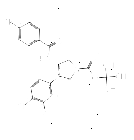 CC(C)(C)OC(=O)N1C[C@@H](NC(=O)c2ccc(Cl)cc2)[C@H](c2ccc(Cl)c(Cl)c2)C1